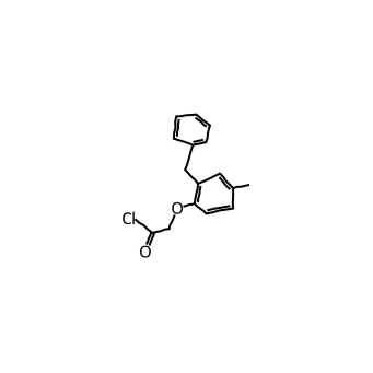 Cc1ccc(OCC(=O)Cl)c(Cc2ccccc2)c1